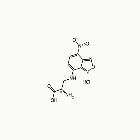 Cl.N[C@H](CNc1ccc([N+](=O)[O-])c2nonc12)C(=O)O